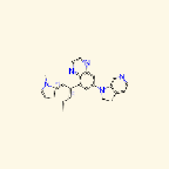 C=C/C=C(\C=C1/CC=CN1C)c1cc(N2CCc3ccncc32)cc2nccnc12